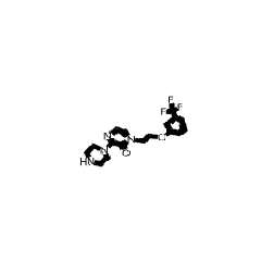 O=c1c(N2CCNCC2)nccn1CCOc1cccc(C(F)(F)F)c1